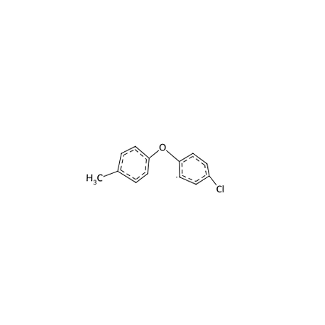 Cc1ccc(Oc2[c]cc(Cl)cc2)cc1